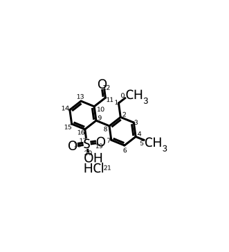 CCc1cc(C)ccc1-c1c(C=O)cccc1S(=O)(=O)O.Cl